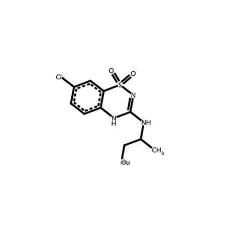 CCC(C)CC(C)NC1=NS(=O)(=O)c2cc(Cl)ccc2N1